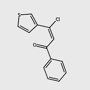 O=C(/C=C(/Cl)c1ccsc1)c1ccccc1